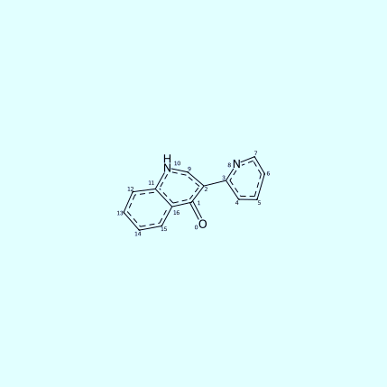 O=c1c(-c2ccccn2)c[nH]c2ccccc12